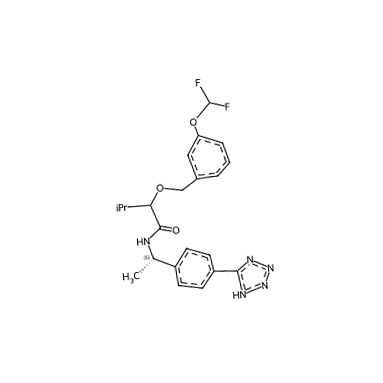 CC(C)C(OCc1cccc(OC(F)F)c1)C(=O)N[C@@H](C)c1ccc(-c2nnn[nH]2)cc1